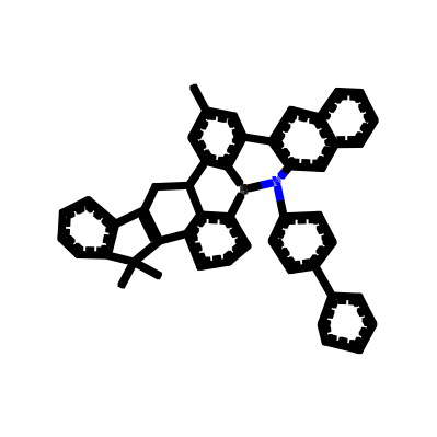 Cc1cc2c3c(c1)C1CC4=C(c5cccc(c51)B3N(c1ccc(-c3ccccc3)cc1)c1cc3ccccc3cc1-2)C(C)(C)c1ccccc14